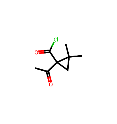 CC(=O)C1(C(=O)Cl)CC1(C)C